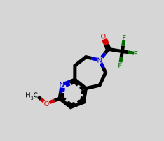 COc1ccc2c(n1)CCN(C(=O)C(F)(F)F)CC2